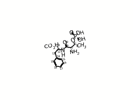 C[C@@H](OP(=O)(O)O)[C@H](N)C(=O)N[C@@H](Cc1ccccc1)C(=O)O